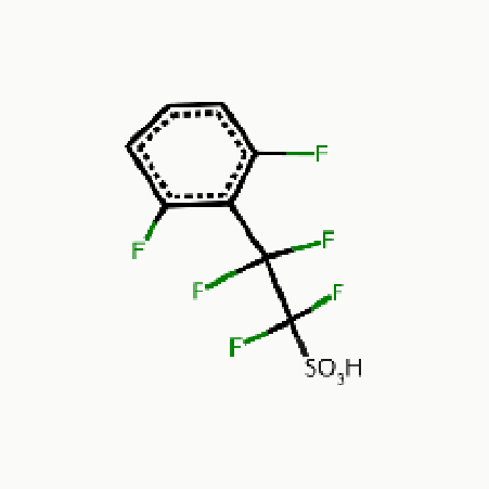 O=S(=O)(O)C(F)(F)C(F)(F)c1c(F)cccc1F